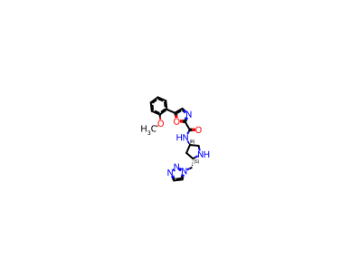 COc1ccccc1-c1cnc(C(=O)N[C@H]2CN[C@H](Cn3ccnn3)C2)o1